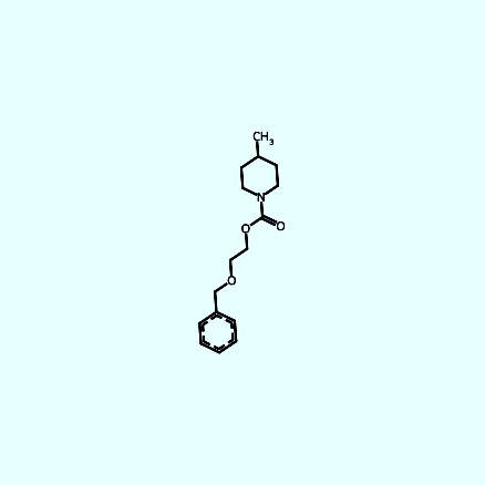 CC1CCN(C(=O)OCCOCc2ccccc2)CC1